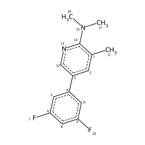 Cc1cc(-c2cc(F)cc(F)c2)cnc1N(C)C